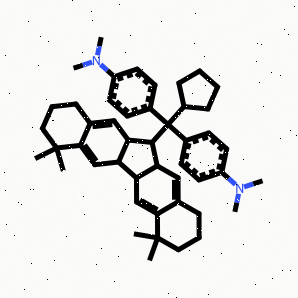 CN(C)c1ccc(C(c2ccc(N(C)C)cc2)(C2CCCC2)C2C3C=C4CCCC(C)(C)C4=CC3C3C=C4C(=CC32)CCCC4(C)C)cc1